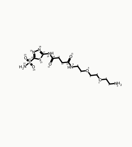 NCCOCCOCCNC(=O)CCC(=O)Nc1nnc(S(N)(=O)=O)s1